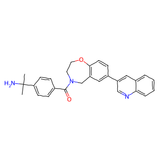 CC(C)(N)c1ccc(C(=O)N2CCOc3ccc(-c4cnc5ccccc5c4)cc3C2)cc1